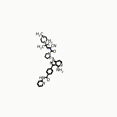 CN1CCN(C(C)(C)/C=C(\C#N)C(=O)N2CCC[C@H]2Cn2nc(-c3ccc(C(=O)Nc4ccccn4)cc3)c3c(N)nccc32)CC1